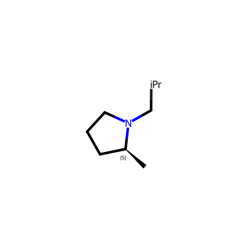 CC(C)CN1CCC[C@@H]1C